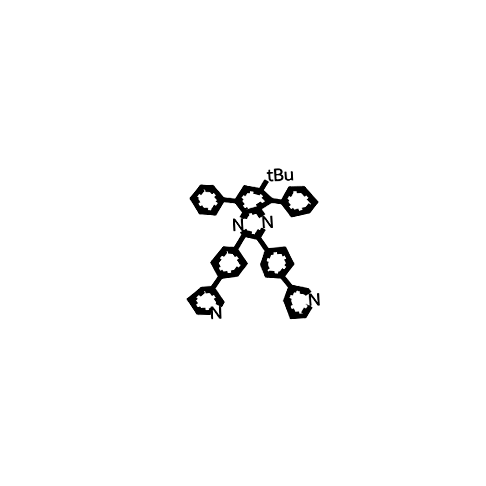 CC(C)(C)c1cc(-c2ccccc2)c2nc(-c3ccc(-c4cccnc4)cc3)c(-c3ccc(-c4cccnc4)cc3)nc2c1-c1ccccc1